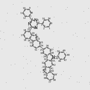 c1ccc(-c2nc(-c3ccccc3)nc(-c3cccc4c3sc3cc(-c5ccc6c(c5)c5cc7sc8ccccc8c7cc5n6-c5ccccc5)ccc34)n2)cc1